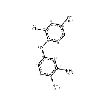 Nc1ccc(Oc2ncc(C(F)(F)F)cc2Cl)cc1N